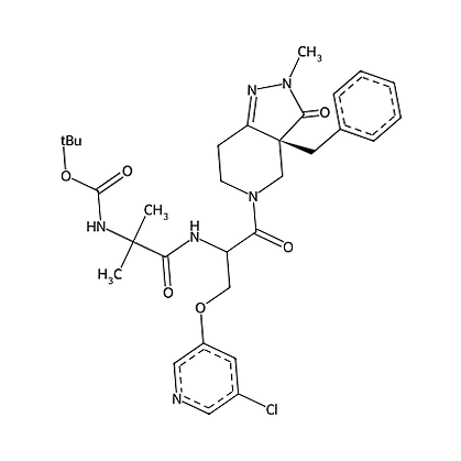 CN1N=C2CCN(C(=O)C(COc3cncc(Cl)c3)NC(=O)C(C)(C)NC(=O)OC(C)(C)C)C[C@@]2(Cc2ccccc2)C1=O